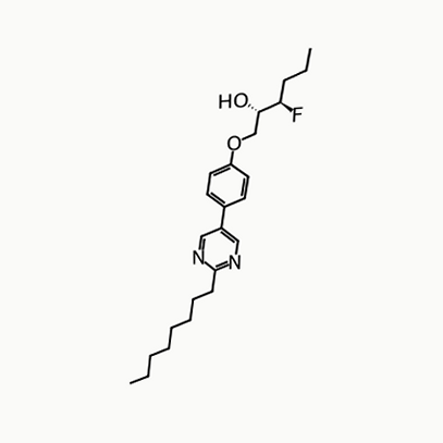 CCCCCCCCc1ncc(-c2ccc(OC[C@H](O)[C@H](F)CCC)cc2)cn1